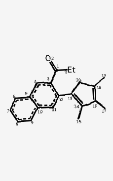 CCC(=O)c1cc2ccccc2cc1C1=C(C)C(C)=C(C)C1